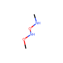 CNONOC